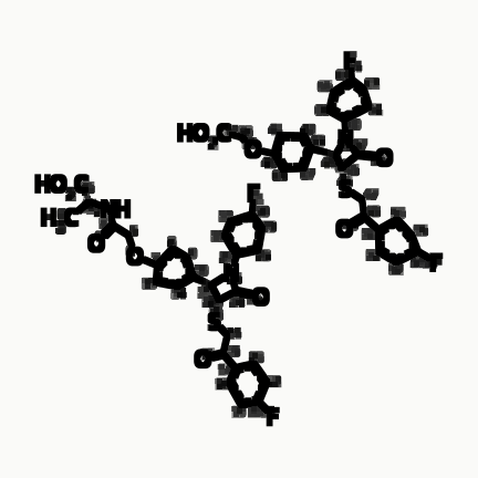 C[C@@H](NC(=O)COc1ccc([C@@H]2[C@@H](SCC(=O)c3ccc(F)cc3)C(=O)N2c2ccc(F)cc2)cc1)C(=O)O.O=C(O)COc1ccc([C@@H]2[C@@H](SCC(=O)c3ccc(F)cc3)C(=O)N2c2ccc(F)cc2)cc1